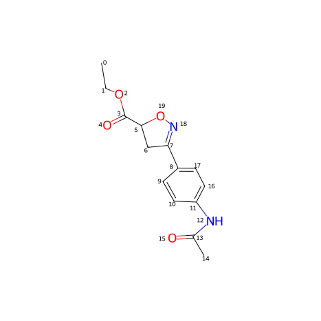 CCOC(=O)C1CC(c2ccc(NC(C)=O)cc2)=NO1